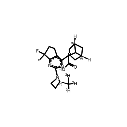 [2H]C([2H])([2H])[C@H]1CCN1c1nc(N2C[C@H]3C[C@@H](C2)C3CC(=O)O)c2c(n1)C(F)(F)CC2